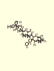 COCOc1c(-c2ccc3cc(N4C[C@@H](C)N(C(=O)O)[C@@H](C)C4)cnc3n2)cc2cn(C)nc2c1C